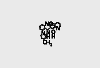 Cc1ccnc(NC(c2ccccc2[N+](=O)[O-])c2ccc3cccnc3c2O)c1